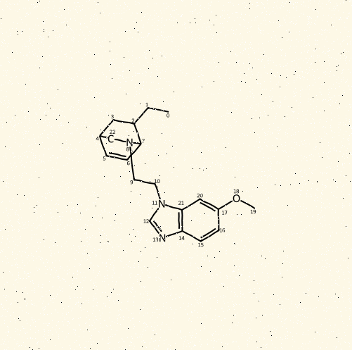 CCC1CC2C=CC1N(CCn1cnc3ccc(OC)cc31)C2